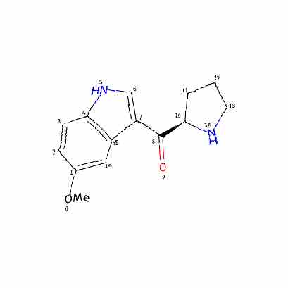 COc1ccc2[nH]cc(C(=O)[C@H]3CCCN3)c2c1